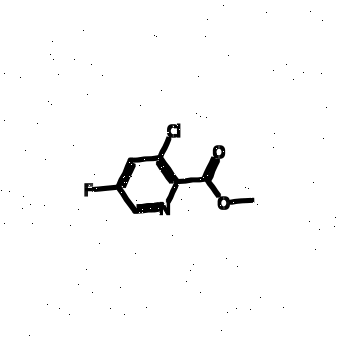 COC(=O)c1ncc(F)cc1Cl